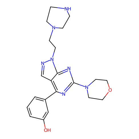 Oc1cccc(-c2nc(N3CCOCC3)nc3c2cnn3CCN2CCNCC2)c1